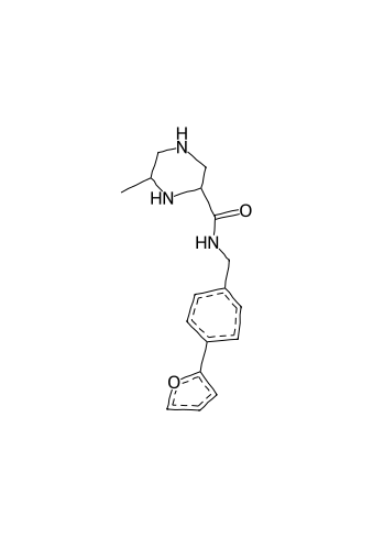 CC1CNCC(C(=O)NCc2ccc(-c3ccco3)cc2)N1